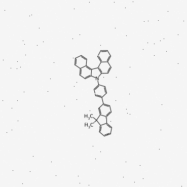 CC1(C)c2ccccc2-c2ccc(-c3ccc(-n4c5ccc6ccccc6c5c5c6ccccc6ccc54)cc3)cc21